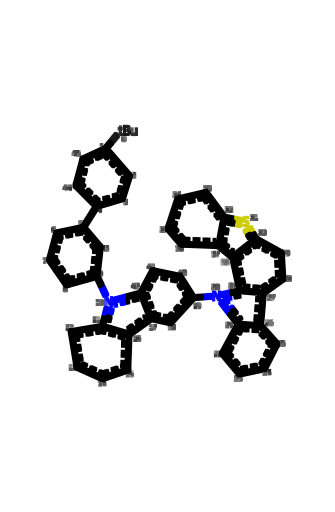 CC(C)(C)c1ccc(-c2cccc(-n3c4ccccc4c4cc(-n5c6ccccc6c6ccc7sc8ccccc8c7c65)ccc43)c2)cc1